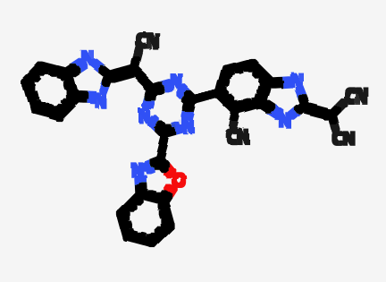 N#CC(C#N)=C1N=c2ccc(-c3nc(C(C#N)=C4N=c5ccccc5=N4)nc(-c4nc5ccccc5o4)n3)c(C#N)c2=N1